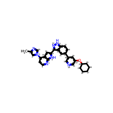 Cc1cn(-c2ccnc3[nH]c(-c4n[nH]c5ccc(-c6cncc(OC7CCCCC7)c6)cc45)cc23)cn1